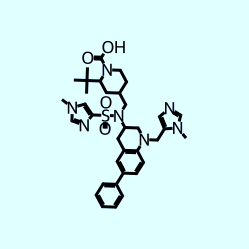 Cn1cnc(S(=O)(=O)N(CC2CCN(C(=O)O)C(C(C)(C)C)C2)C2Cc3cc(-c4ccccc4)ccc3N(Cc3cncn3C)C2)c1